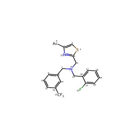 CC(=O)c1csc(CN(Cc2cccc(C(F)(F)F)c2)Cc2ccccc2F)n1